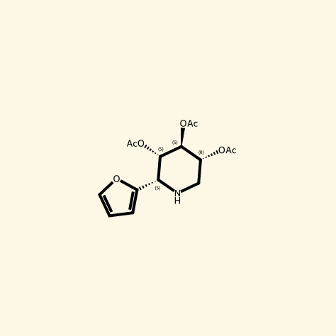 CC(=O)O[C@@H]1[C@@H](OC(C)=O)[C@H](OC(C)=O)CN[C@@H]1c1ccco1